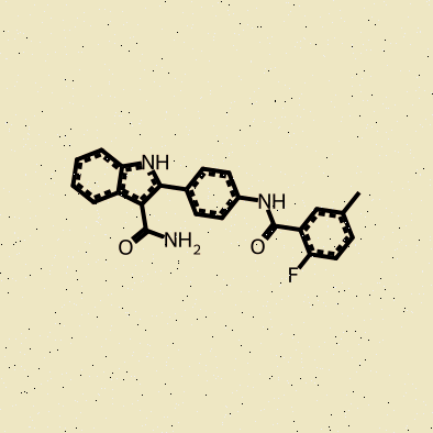 Cc1ccc(F)c(C(=O)Nc2ccc(-c3[nH]c4ccccc4c3C(N)=O)cc2)c1